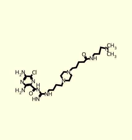 CN(C)CCCNC(=O)CCCCN1CCN(CCCCNC(=N)NC(=O)c2nc(Cl)c(N)nc2N)CC1